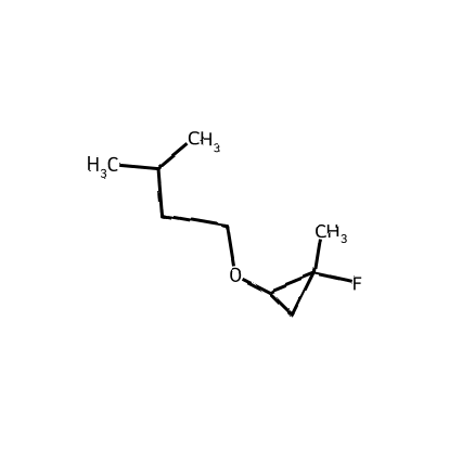 CC(C)CCOC1CC1(C)F